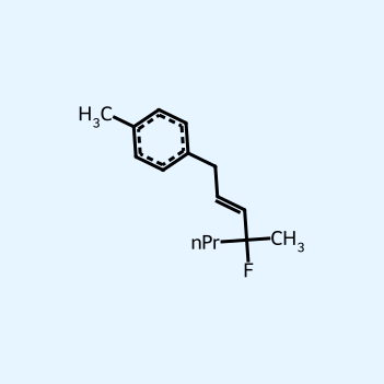 CCCC(C)(F)/C=C/Cc1ccc(C)cc1